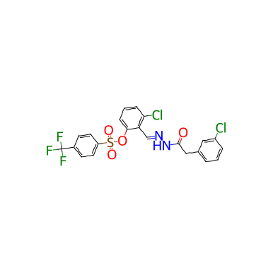 O=C(Cc1cccc(Cl)c1)NN=Cc1c(Cl)cccc1OS(=O)(=O)c1ccc(C(F)(F)F)cc1